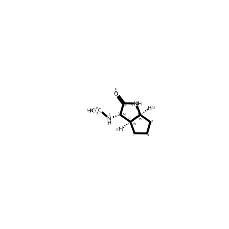 O=C(O)N[C@@H]1C(=O)N[C@H]2CCC[C@H]21